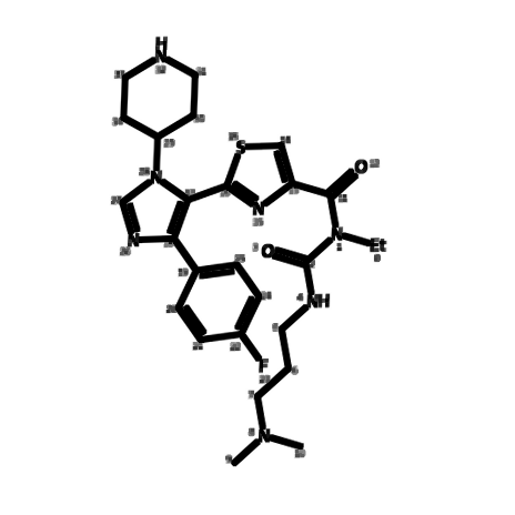 CCN(C(=O)NCCCN(C)C)C(=O)c1csc(-c2c(-c3ccc(F)cc3)ncn2C2CCNCC2)n1